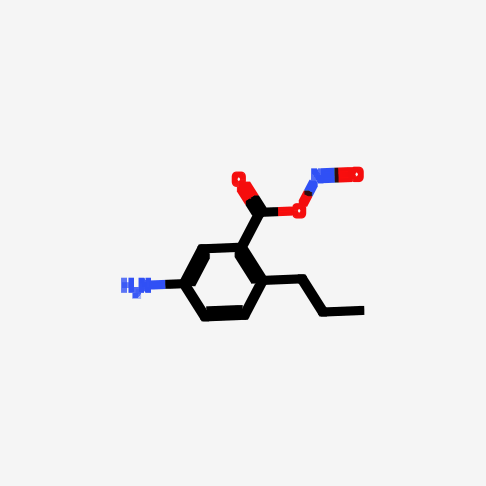 CCCc1ccc(N)cc1C(=O)ON=O